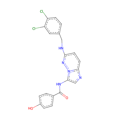 O=C(Nc1cnc2ccc(NCc3ccc(Cl)c(Cl)c3)nn12)c1ccc(O)cc1